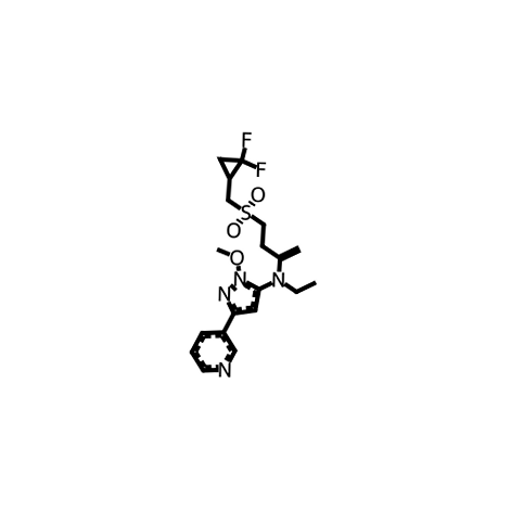 C=C(CCS(=O)(=O)CC1CC1(F)F)N(CC)c1cc(-c2cccnc2)nn1OC